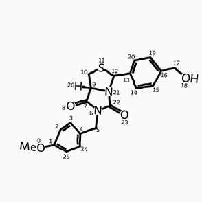 COc1ccc(CN2C(=O)[C@@H]3CSC(c4ccc(CO)cc4)N3C2=O)cc1